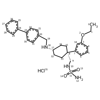 CCOc1cccc([C@]2(CNS(N)(=O)=O)CC[C@@H](NCc3ccc(-c4ccccc4)cc3)CC2)c1.Cl